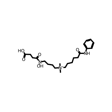 C[N+](C)(CCCCCC(=O)Nc1ccccc1)CCCCN(O)C(=O)CCC(=O)O